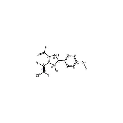 C=C(C)C1=C(/C(F)=C(\C)Cl)N(C)C(c2ccc(SC)cc2)N1